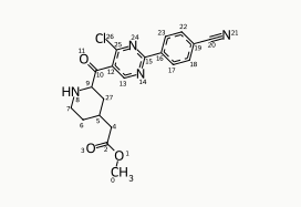 COC(=O)CC1CCNC(C(=O)c2cnc(-c3ccc(C#N)cc3)nc2Cl)C1